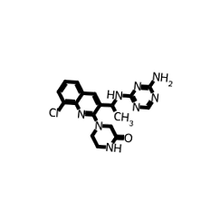 CC(Nc1ncnc(N)n1)c1cc2cccc(Cl)c2nc1N1CCNC(=O)C1